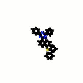 c1ccc(-c2nc(-c3ccccc3)nc(-c3cccc4c3ccc3c5cccc(-c6ccccc6)c5sc43)n2)cc1